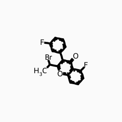 CC(Br)c1oc2cccc(F)c2c(=O)c1-c1cccc(F)c1